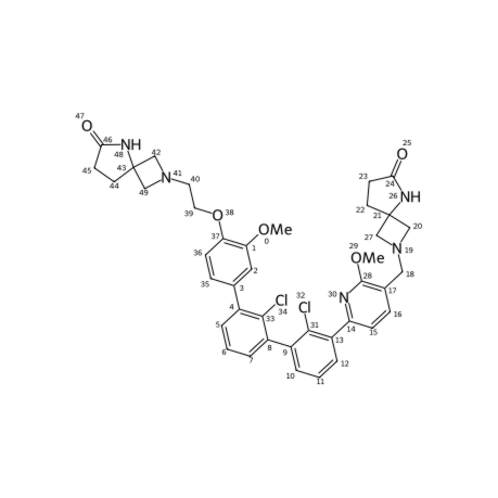 COc1cc(-c2cccc(-c3cccc(-c4ccc(CN5CC6(CCC(=O)N6)C5)c(OC)n4)c3Cl)c2Cl)ccc1OCCN1CC2(CCC(=O)N2)C1